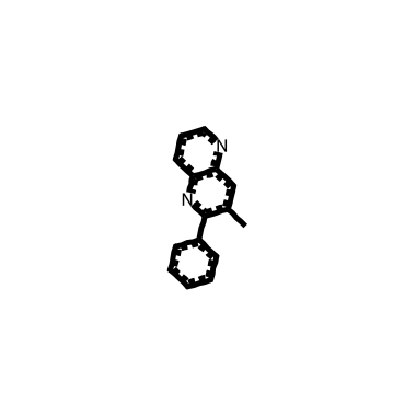 Cc1cc2ncccc2nc1-c1ccccc1